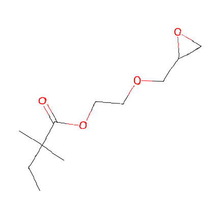 CCC(C)(C)C(=O)OCCOCC1CO1